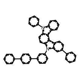 c1ccc(-c2ccc(-c3cccc(-n4c5cc(-c6ccccc6)ccc5c5c6c7ccccc7n(-c7ccccc7)c6ccc54)c3)cc2)cc1